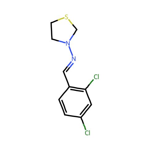 Clc1ccc(C=NN2CCSC2)c(Cl)c1